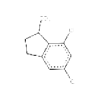 O=C(O)C1CCc2cc(Cl)cc(Cl)c21